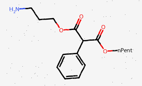 CCCCCOC(=O)C(C(=O)OCCCN)c1ccccc1